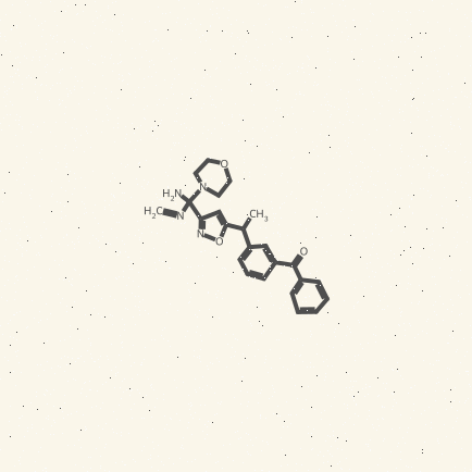 C=NC(N)(c1cc(C(C)c2cccc(C(=O)c3ccccc3)c2)on1)N1CCOCC1